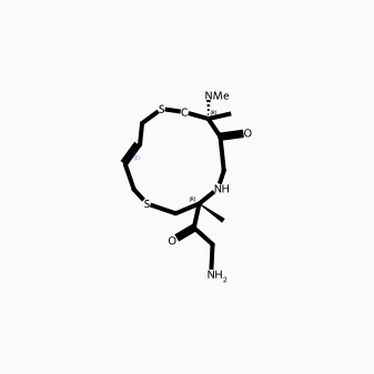 CN[C@@]1(C)CSC/C=C/CSC[C@@](C)(C(=O)CN)NCC1=O